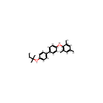 CCC(C)(C)Oc1ccc(-c2ccc(Oc3c(C)cc(C)cc3C)cc2)cc1